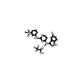 CN(c1ccnc(Nc2cccc(S(C)(=O)=O)c2)n1)c1n[nH]c2ccc(F)cc12.O=C(O)C(F)(F)F